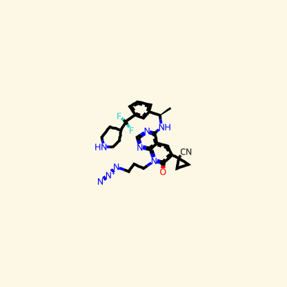 C[C@@H](Nc1ncnc2c1cc(C1(C#N)CC1)c(=O)n2CCCN=[N+]=[N-])c1cccc(C(F)(F)C2CCNCC2)c1